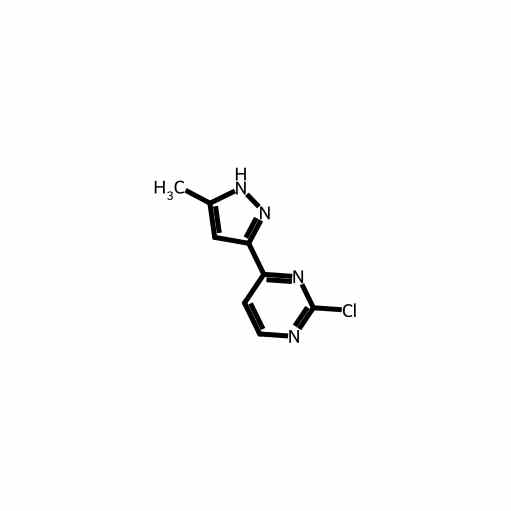 Cc1cc(-c2ccnc(Cl)n2)n[nH]1